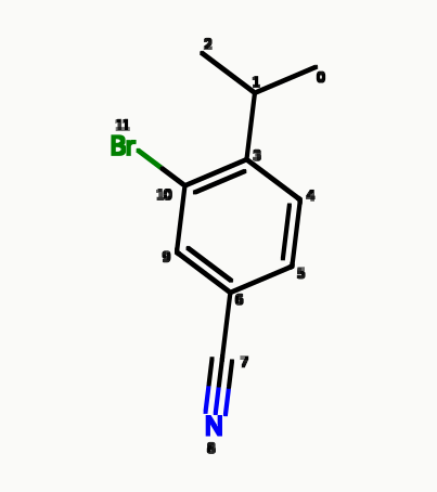 CC(C)c1ccc(C#N)cc1Br